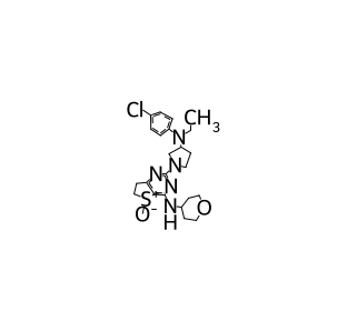 CCN(c1ccc(Cl)cc1)C1CCN(c2nc3c(c(NC4CCOCC4)n2)[S+]([O-])CC3)C1